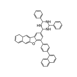 C1=CCC2C=c3c(oc4c(-c5ccc(-c6cccc7ccccc67)cc5)cc(C5NC(c6ccccc6)NC(c6ccccc6)N5)cc34)=CC2=C1